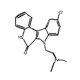 CN(C)CCn1c2ccc(Cl)cc2c2c3ccccc3[nH]c(=O)c21